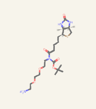 CC(C)(C)OC(=O)N(CCOCCOCCN)C(=O)CCCC[C@@H]1SC[C@@H]2NC(=O)N[C@@H]21